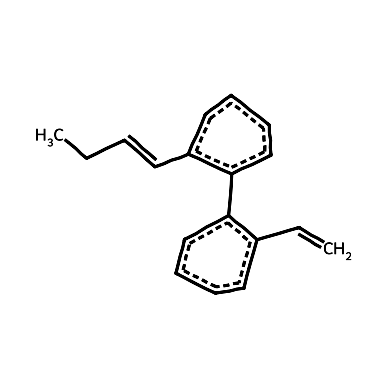 C=Cc1ccccc1-c1ccccc1C=CCC